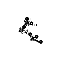 CC(C)(C)N1C(=O)C(NCCCO)=C(c2ccccc2)S1(=O)=O.CC(C)N1C(=O)C(N[C@H]2CC[C@H](O)CC2)=C(c2ccccc2)S1(=O)=O.O=c1c(NCCCCc2ccccc2)c(-c2ccccc2)sn1Cc1cccnc1